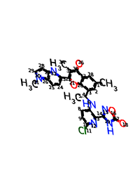 Cc1cc([C@@H](C)Nc2ccc(Cl)nc2-c2noc(=O)[nH]2)c2oc(-c3ccc4c(ccn4C)n3)c(C)c(=O)c2c1